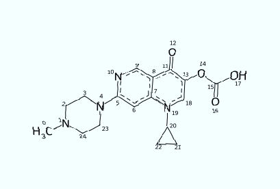 CN1CCN(c2cc3c(cn2)c(=O)c(OC(=O)O)cn3C2CC2)CC1